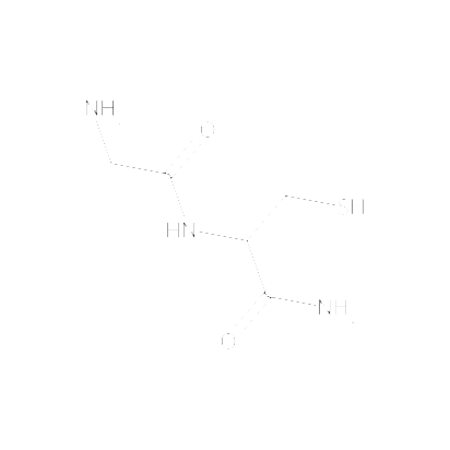 NCC(=O)NC(CS)C(N)=O